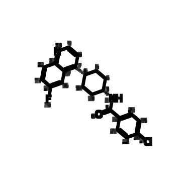 O=C(N[C@H]1CC[C@@H](c2ccnc3ccc(F)cc32)CC1)c1ccc(Cl)cc1